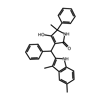 Cc1ccc2[nH]c(C(C3=C(O)C(C)(c4ccccc4)NC3=O)c3ccccc3)c(C)c2c1